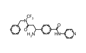 NC(CC(=O)N(Cc1ccccc1)C(F)(F)F)c1ccc(C(=O)Nc2ccncc2)cc1